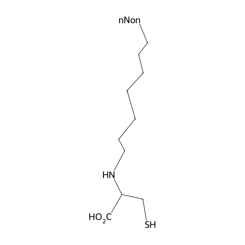 CCCCCCCCCCCCCCCCNC(CS)C(=O)O